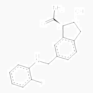 NC(=O)[C@@H]1c2cc(CNc3ccccc3F)ccc2C[C@H]1O